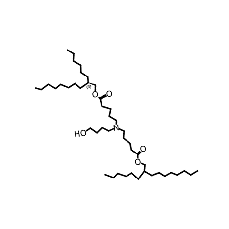 CCCCCCCCC(CCCCCC)COC(=O)CCCCN(CCCCO)CCCCC(=O)OC[C@H](CCCCCC)CCCCCCCC